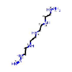 N=NNCCNCCNCCNCCNN